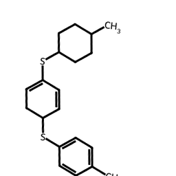 Cc1ccc(SC2C=CC(SC3CCC(C)CC3)=CC2)cc1